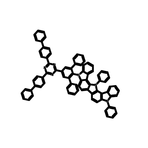 c1ccc(-c2ccc(-c3nc(-c4ccc(-c5ccccc5)cc4)nc(-c4cc(-c5ccccc5)c(-n5c6ccccc6c6c5ccc5c7ccc8c(c9ccccc9n8-c8ccccc8)c7n(-c7ccccc7)c56)c(-c5ccccc5)c4)n3)cc2)cc1